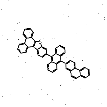 c1ccc2c(c1)ccc1cc(-c3c4ccccc4c(-c4ccc5c(c4)sc4c6ccccc6c6ccccc6c54)c4ccccc34)ccc12